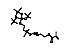 C=C(C)C(=O)OCCC[SiH2]O[Si](C)(C)CCO[Si](O[Si](C)(C)C)(O[Si](C)(C)C)O[Si](C)(C)C